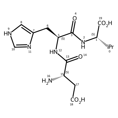 CC(C)[C@H](NC(=O)[C@H](Cc1c[nH]cn1)NC(=O)[C@@H](N)CC(=O)O)C(=O)O